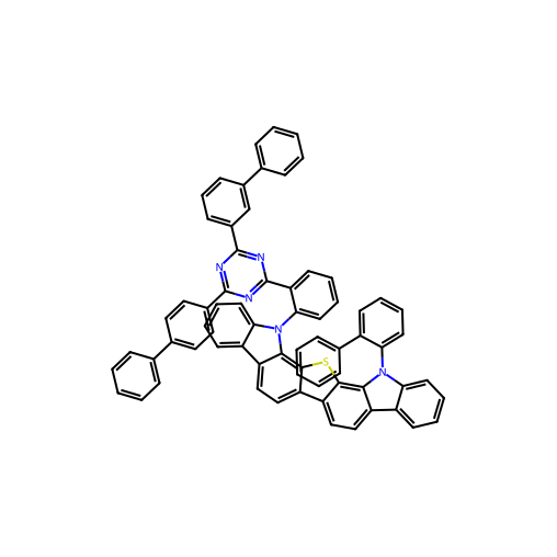 c1ccc(-c2ccc(-c3nc(-c4cccc(-c5ccccc5)c4)nc(-c4ccccc4-n4c5ccccc5c5ccc6c7ccc8c9ccccc9n(-c9ccccc9-c9ccccc9)c8c7sc6c54)n3)cc2)cc1